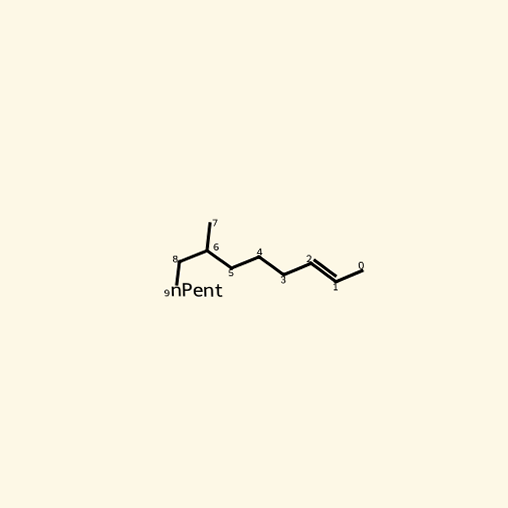 CC=CCCCC(C)CCCCCC